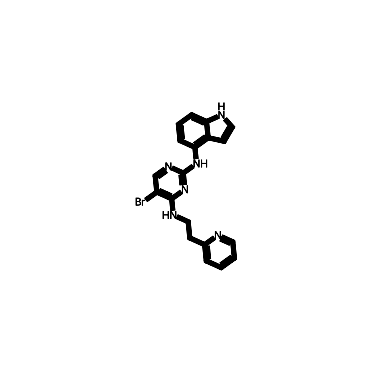 Brc1cnc(Nc2cccc3[nH]ccc23)nc1NCCc1ccccn1